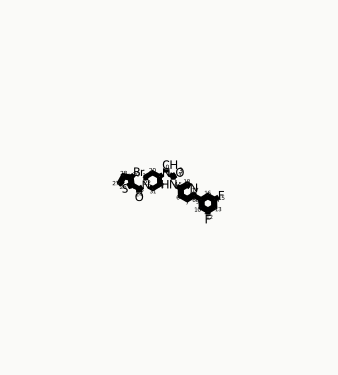 CN(C(=O)Nc1ccc(-c2cc(F)cc(F)c2)nc1)C1CCN(C(=O)c2sccc2Br)CC1